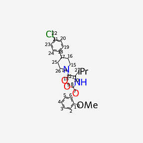 COc1ccccc1OC(=O)NC(C(=O)N1CCC(c2ccc(Cl)cc2)CC1)C(C)C